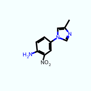 Cc1cn(-c2ccc(N)c([N+](=O)[O-])c2)cn1